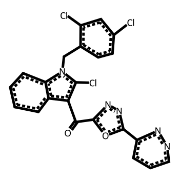 O=C(c1nnc(-c2cccnn2)o1)c1c(Cl)n(Cc2ccc(Cl)cc2Cl)c2ccccc12